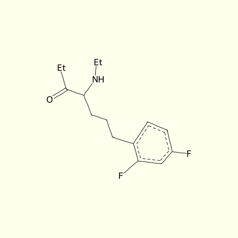 CCNC(CCCc1ccc(F)cc1F)C(=O)CC